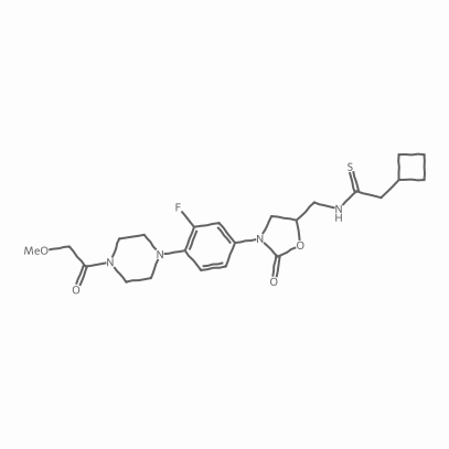 COCC(=O)N1CCN(c2ccc(N3CC(CNC(=S)CC4CCC4)OC3=O)cc2F)CC1